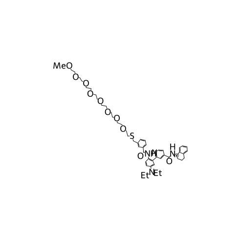 CCN(CC)c1ccc(NC(=O)c2cccc(CSCCOCCOCCOCCOCCOCCOCCOCCOC)c2)c(-c2cc(C(=O)N[C@H]3CCCc4ccccc43)ccn2)c1